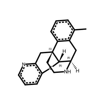 Cc1cccc2c1C[C@H]1NCC[C@@]23Cc2ncccc2C[C@@H]13